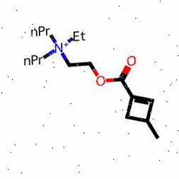 CCC[N+](CC)(CCC)CCOC(=O)C1=CC(C)C1